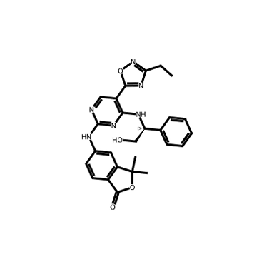 CCc1noc(-c2cnc(Nc3ccc4c(c3)C(C)(C)OC4=O)nc2N[C@H](CO)c2ccccc2)n1